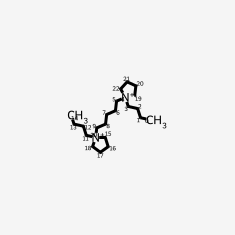 CCCC[N+]1(CCCCC[N+]2(CCCC)CCCC2)CCCC1